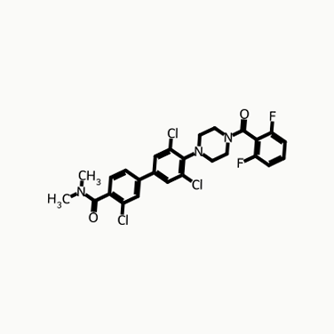 CN(C)C(=O)c1ccc(-c2cc(Cl)c(N3CCN(C(=O)c4c(F)cccc4F)CC3)c(Cl)c2)cc1Cl